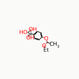 CCOC(C)Oc1ccc([Si](O)(O)O)cc1